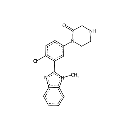 Cn1c(-c2cc(N3CCNCC3=O)ccc2Cl)nc2ccccc21